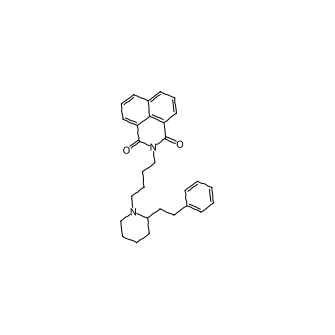 O=C1c2cccc3cccc(c23)C(=O)N1CCCCN1CCCCC1CCc1ccccc1